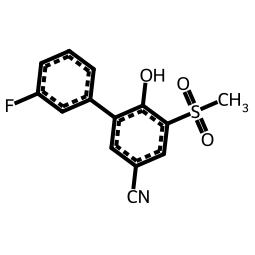 CS(=O)(=O)c1cc(C#N)cc(-c2cccc(F)c2)c1O